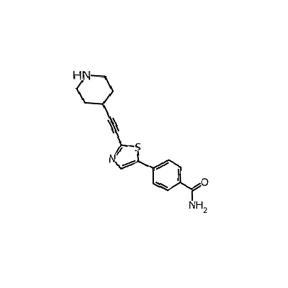 NC(=O)c1ccc(-c2cnc(C#CC3CCNCC3)s2)cc1